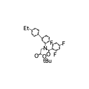 CCc1ccc(-c2cccc(N(CC(=O)OC(C)(C)C)C(=O)c3c(F)cc(F)cc3F)c2)cc1